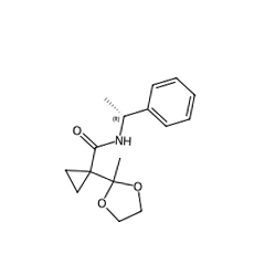 C[C@@H](NC(=O)C1(C2(C)OCCO2)CC1)c1ccccc1